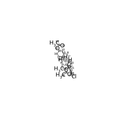 CC[C@]12CC[C@H]3[C@@H](CCC4=C[C@@H](OC(C)=O)CC[C@@H]43)[C@@H]1CC[C@]2(C#CCl)OC(C)=O